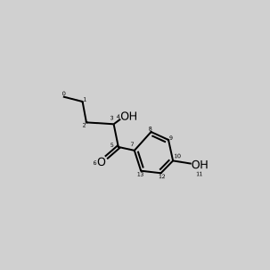 CCCC(O)C(=O)c1ccc(O)cc1